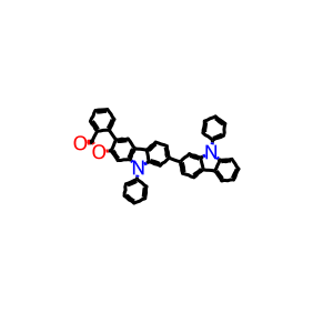 O=c1oc2cc3c(cc2c2ccccc12)c1ccc(-c2ccc4c5ccccc5n(-c5ccccc5)c4c2)cc1n3-c1ccccc1